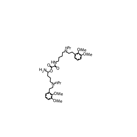 CCCN(CCCCNC(=O)C(=O)OC(N)CCCN(CCC)CCc1cccc(OC)c1OC)CCc1cccc(OC)c1OC